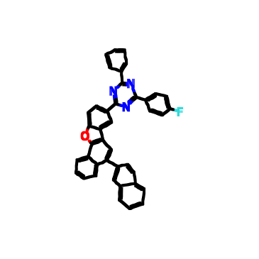 Fc1ccc(-c2nc(-c3ccccc3)nc(-c3ccc4oc5c6ccccc6c(-c6ccc7ccccc7c6)cc5c4c3)n2)cc1